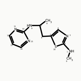 CNc1ncc(CC(C)Nc2ncccn2)s1